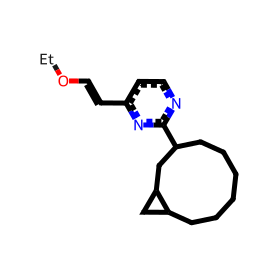 CCO/C=C/c1ccnc(C2CCCCCCC3CC3C2)n1